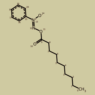 CCCCCCCCCC(=O)O/N=[N+](\[O-])c1ccccc1